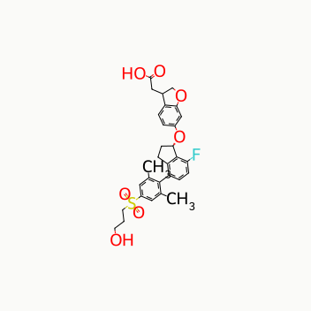 Cc1cc(S(=O)(=O)CCCO)cc(C)c1-c1ccc(F)c2c1CC[C@H]2Oc1ccc2c(c1)OCC2CC(=O)O